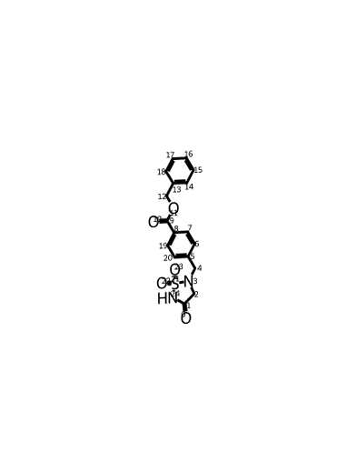 O=C1CN(Cc2ccc(C(=O)OCc3ccccc3)cc2)S(=O)(=O)N1